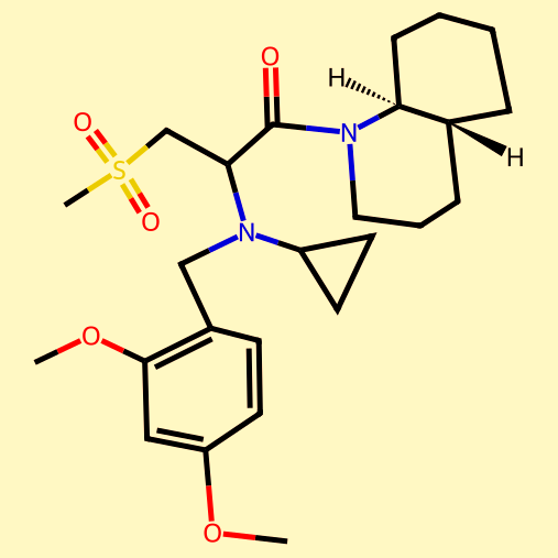 COc1ccc(CN(C2CC2)C(CS(C)(=O)=O)C(=O)N2CCC[C@H]3CCCC[C@@H]32)c(OC)c1